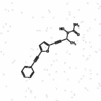 CC(C#Cc1ccc(C#Cc2ccccc2)o1)N(O)C(N)=O